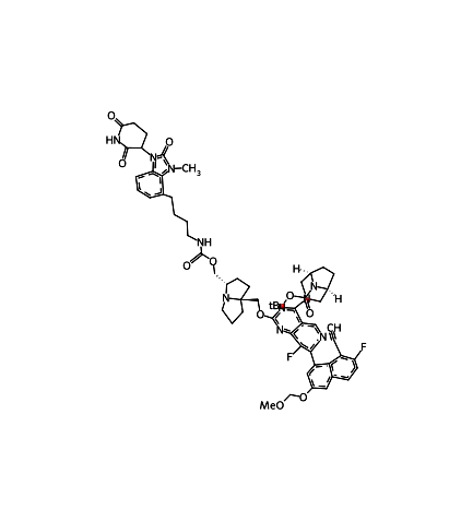 C#Cc1c(F)ccc2cc(OCOC)cc(-c3ncc4c(N5C[C@H]6CC[C@@H](C5)N6C(=O)OC(C)(C)C)nc(OC[C@@]56CCCN5[C@H](COC(=O)NCCCCc5cccc7c5n(C)c(=O)n7C5CCC(=O)NC5=O)CC6)nc4c3F)c12